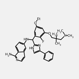 CCOc1cc(OCC(C)(C)CN(C)C)c(F)c(C(Nc2ccc3c(N)nccc3c2)c2nc(-c3ccccc3)c[nH]2)c1